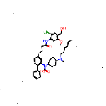 CCCCCCN(C)[C@H]1CC[C@H](N(C(=O)O)c2cc(CCCC(=O)Nc3cc(OC)c(CO)cc3Cl)ccc2-c2ccccc2)CC1